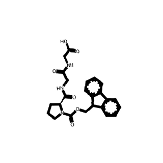 O=C(O)CNC(=O)CNC(=O)[C@@H]1CCCN1C(=O)OCC1c2ccccc2-c2ccccc21